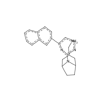 NCC1CC2CCC(C1)N2c1nccc(-c2ccc3ccccc3c2)n1